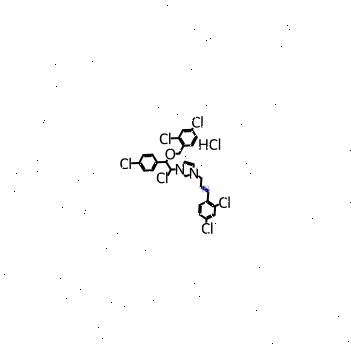 Cl.Clc1ccc(C(OCc2ccc(Cl)cc2Cl)C(Cl)N2C=CN(C/C=C/c3ccc(Cl)cc3Cl)C2)cc1